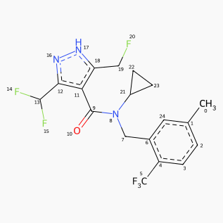 Cc1ccc(C(F)(F)F)c(CN(C(=O)c2c(C(F)F)n[nH]c2CF)C2CC2)c1